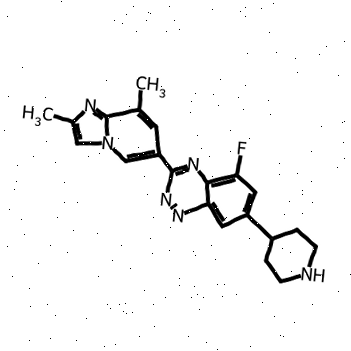 Cc1cn2cc(-c3nnc4cc(C5CCNCC5)cc(F)c4n3)cc(C)c2n1